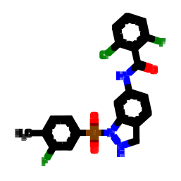 Cc1ccc(S(=O)(=O)N2NCc3ccc(NC(=O)c4c(F)cccc4Cl)cc32)cc1F